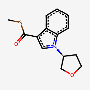 CSC(=O)c1cn([C@H]2CCOC2)c2ccccc12